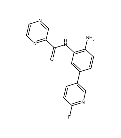 Nc1ccc(-c2ccc(F)nc2)cc1NC(=O)c1cnccn1